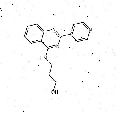 OCCCNc1nc(-c2ccncc2)nc2ccccc12